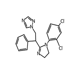 Clc1ccc(N2CCN=C2C(Cn2cncn2)c2ccccc2)c(Cl)c1